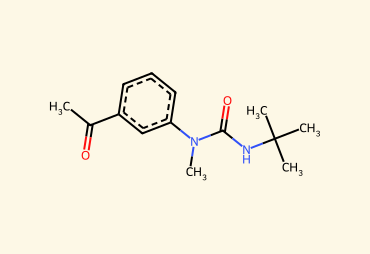 CC(=O)c1cccc(N(C)C(=O)NC(C)(C)C)c1